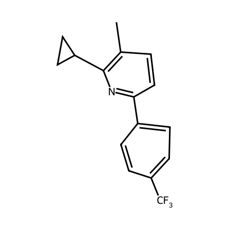 Cc1ccc(-c2ccc(C(F)(F)F)cc2)nc1C1CC1